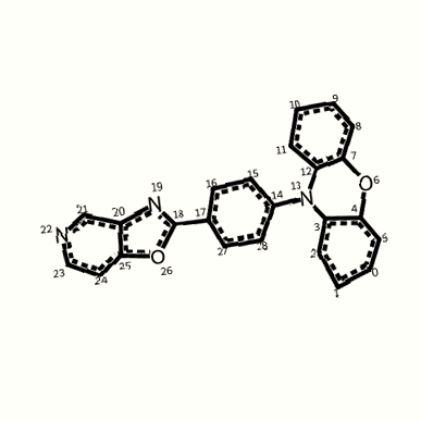 c1ccc2c(c1)Oc1ccccc1N2c1ccc(-c2nc3cnccc3o2)cc1